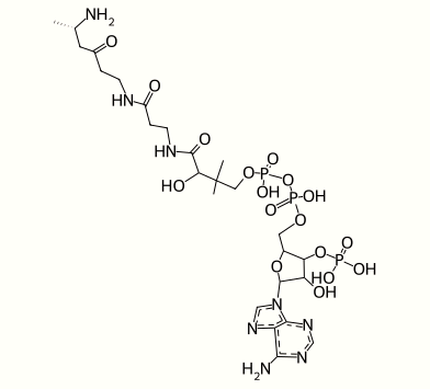 C[C@H](N)CC(=O)CCNC(=O)CCNC(=O)C(O)C(C)(C)COP(=O)(O)OP(=O)(O)OCC1OC(n2cnc3c(N)ncnc32)C(O)C1OP(=O)(O)O